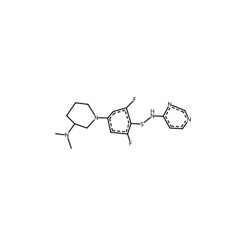 CN(C)C1CCCN(c2cc(F)c(SNc3ccncn3)c(F)c2)C1